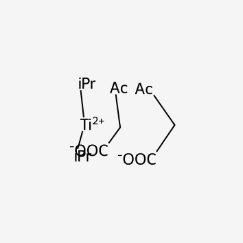 CC(=O)CC(=O)[O-].CC(=O)CC(=O)[O-].C[CH](C)[Ti+2][CH](C)C